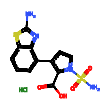 Cl.Nc1nc2c(-c3ccn(S(N)(=O)=O)c3C(=O)O)cccc2s1